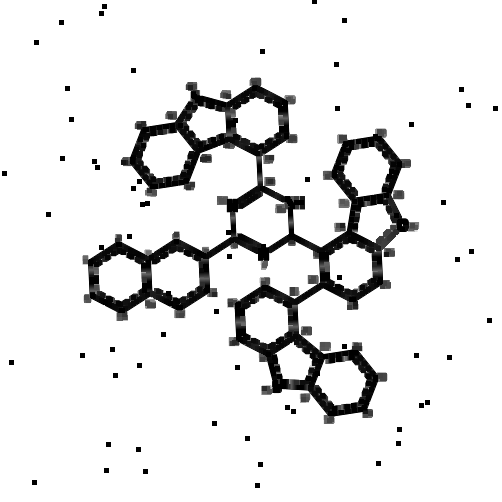 c1ccc2cc(C3=NC(c4c(-c5cccc6sc7ccccc7c56)ccc5oc6ccccc6c45)NC(c4cccc5sc6ccccc6c45)=N3)ccc2c1